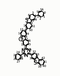 c1ccc(-c2ccc3sc4cc(-c5ccc6oc7cc(-c8nc(-c9ccccc9)nc(-c9ccc%10c(c9)sc9ccccc9%10)n8)ccc7c6c5)ccc4c3c2)cc1